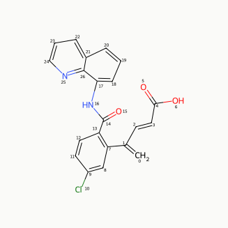 C=C(/C=C/C(=O)O)c1cc(Cl)ccc1C(=O)Nc1cccc2cccnc12